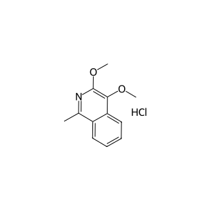 COc1nc(C)c2ccccc2c1OC.Cl